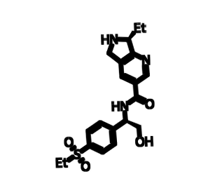 CC[C@@H]1NCc2cc(C(=O)N[C@@H](CO)c3ccc(S(=O)(=O)CC)cc3)cnc21